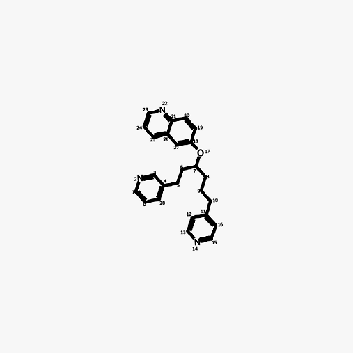 c1cncc(CCC(CCCc2ccncc2)Oc2ccc3ncccc3c2)c1